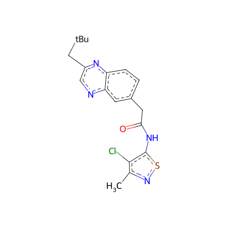 Cc1nsc(NC(=O)Cc2ccc3nc(CC(C)(C)C)cnc3c2)c1Cl